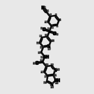 N#Cc1cccc(S(=O)(=O)c2ccc(CNC(=O)c3cnc4[nH]ncc4c3)nc2)c1